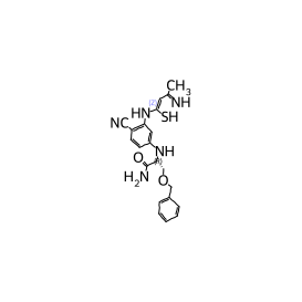 CC(=N)/C=C(\S)Nc1cc(N[C@H](COCc2ccccc2)C(N)=O)ccc1C#N